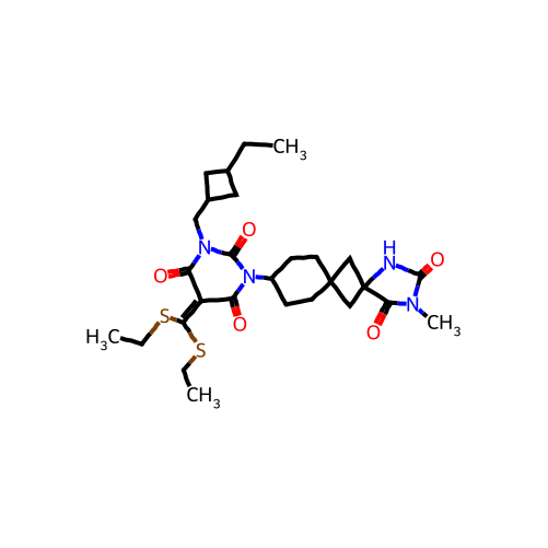 CCSC(SCC)=C1C(=O)N(CC2CC(CC)C2)C(=O)N(C2CCC3(CC2)CC2(C3)NC(=O)N(C)C2=O)C1=O